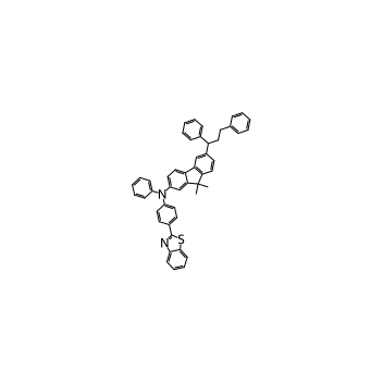 CC1(C)c2ccc(C(CCc3ccccc3)c3ccccc3)cc2-c2ccc(N(c3ccccc3)c3ccc(-c4nc5ccccc5s4)cc3)cc21